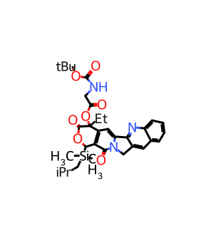 CCC1(OC(=O)CNC(=O)OC(C)(C)C)C(=O)OC([Si](C)(C)CC(C)C)c2c1cc1n(c2=O)Cc2cc3ccccc3nc2-1